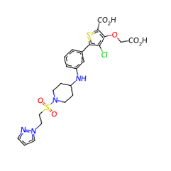 O=C(O)COc1c(C(=O)O)sc(-c2cccc(NC3CCN(S(=O)(=O)CCn4cccn4)CC3)c2)c1Cl